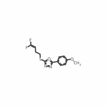 COc1ccc(-c2nnc(SCCC=C(F)F)o2)cc1